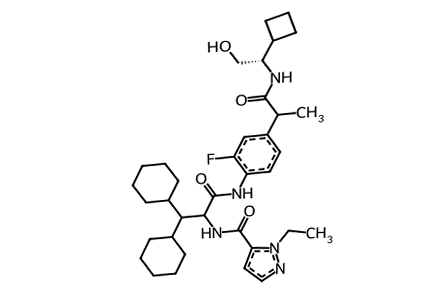 CCn1nccc1C(=O)NC(C(=O)Nc1ccc(C(C)C(=O)N[C@H](CO)C2CCC2)cc1F)C(C1CCCCC1)C1CCCCC1